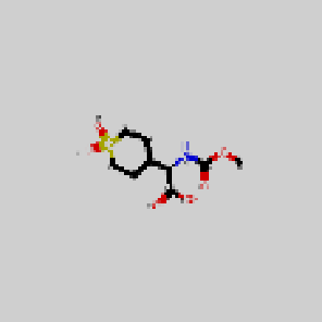 COC(=O)N[C@@H](C(=O)O)C1CCS(=O)(=O)CC1